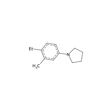 CCc1ccc(N2CCCC2)cc1C